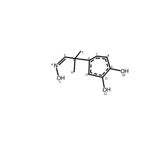 CC(C)(/C=N\O)c1ccc(O)c(O)c1